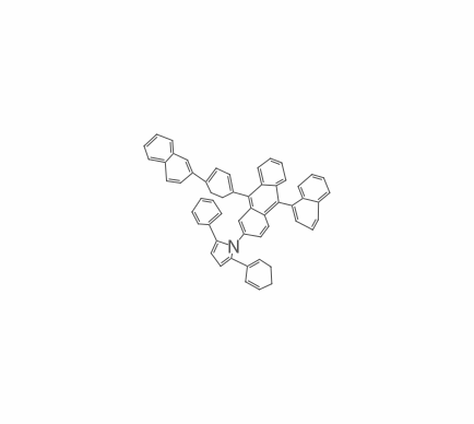 C1=CC(c2ccc(-c3ccccc3)n2-c2ccc3c(-c4cccc5ccccc45)c4ccccc4c(C4=CC=C(c5ccc6ccccc6c5)CC4)c3c2)=CCC1